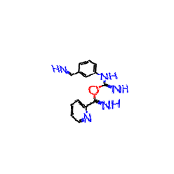 N=Cc1cccc(NC(=N)OC(=N)c2ccccn2)c1